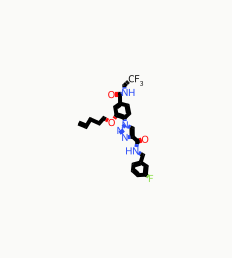 C=CCCCOc1cc(C(=O)NCC(F)(F)F)ccc1-n1cc(C(=O)NCc2cccc(F)c2)nn1